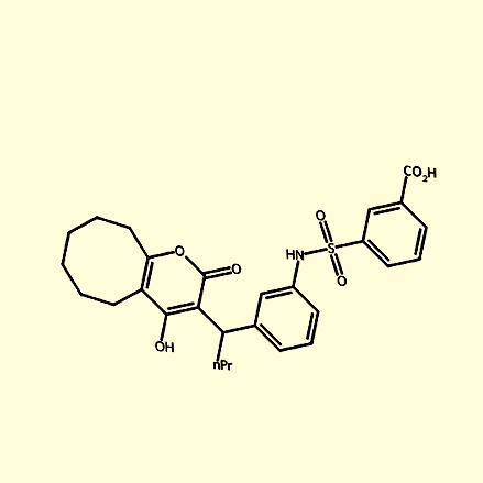 CCCC(c1cccc(NS(=O)(=O)c2cccc(C(=O)O)c2)c1)c1c(O)c2c(oc1=O)CCCCCC2